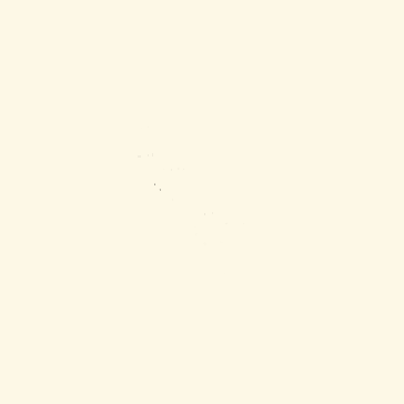 COC(=O)c1ccc(-c2ccc(OC)c(OC)c2)cn1